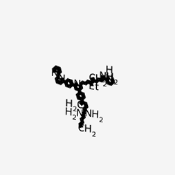 C=CCC/C=C(\N)C(N)C/C=C\C(=C)C1=CCC(C2C=C(CC/C=C(\CC)C(=C)CC/C=C(\N)C3=CCCCN3)N=C(C3=CCC(C4=N[C@H](c5ccccn5)CC=C4)CC3)C2)C=C1